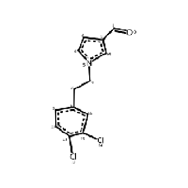 O=Cc1ccn(CCc2ccc(Cl)c(Cl)c2)c1